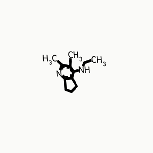 CCNc1c(C)c(C)nc2c1CCC2